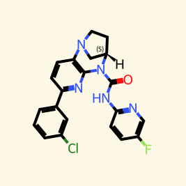 O=C(Nc1ccc(F)cn1)N1c2nc(-c3cccc(Cl)c3)ccc2N2CC[C@H]1C2